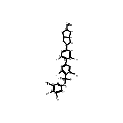 CCCCC1CC2CC(c3cc(F)c(-c4cc(F)c(C(F)(F)Oc5cc(F)c(F)c(F)c5)c(F)c4)c(F)c3)CC2C1